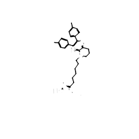 Cc1ccc(-c2nc3c(nc2-c2ccc(C)cc2)N(CCCCCCC(N)=NO)CCC3)cc1